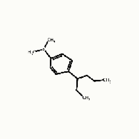 CCCC(CC)c1ccc(B(C)C)cc1